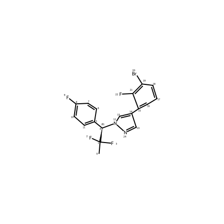 CC(F)(F)[C@@H](c1ccc(F)cc1)n1cc(-c2cccc(Br)c2F)cn1